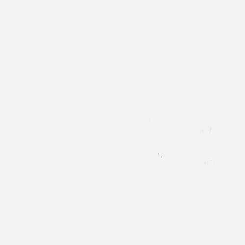 CCOC(=O)CCC(Oc1cc(OCc2ccsc2)ccc1[N+](=O)[O-])c1ccccc1C